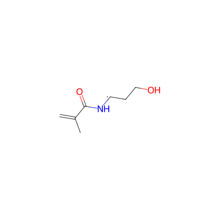 C=C(C)C(=O)N[CH]CCO